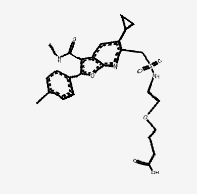 CNC(=O)c1c(-c2ccc(C)cc2)oc2nc(CS(=O)(=O)NCCOCCCC(=O)O)c(C3CC3)cc12